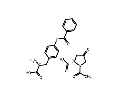 CC(=O)N1CC(=S)C[C@H]1C(=O)O.N[C@@H](Cc1ccc(OC(=O)c2ccccc2)cc1)C(=O)O